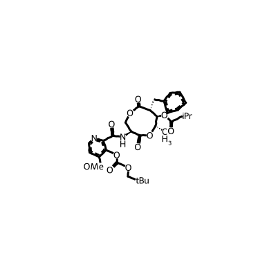 COc1ccnc(C(=O)N[C@H]2COC(=O)[C@H](Cc3ccccc3)[C@@H](OC(=O)C(C)C)[C@H](C)OC2=O)c1OC(=O)OCC(C)(C)C